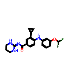 O=C(N=C1NCCCN1)c1ccc(Nc2cccc(OC(F)F)c2)c(C2CC2)c1